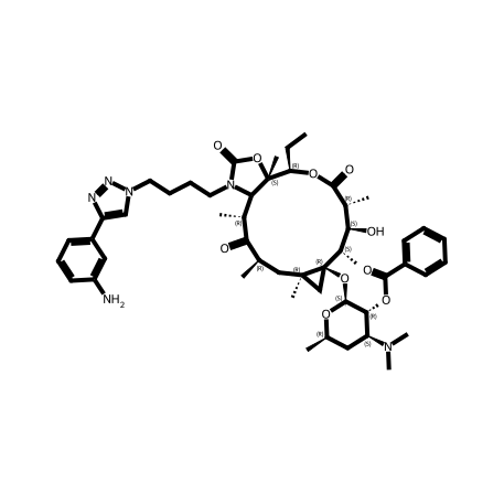 CC[C@H]1OC(=O)[C@H](C)[C@@H](O)[C@H](C)[C@]2(O[C@@H]3O[C@H](C)C[C@H](N(C)C)[C@H]3OC(=O)c3ccccc3)C[C@@]2(C)C[C@@H](C)C(=O)[C@H](C)C2N(CCCCn3cc(-c4cccc(N)c4)nn3)C(=O)O[C@@]21C